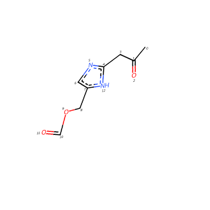 CC(=O)Cc1ncc(COC=O)[nH]1